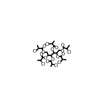 CC(Cl)C(=O)OCC(OC(=O)C(C)Cl)C(OC(=O)C(C)Cl)C(OC(=O)C(C)Cl)C(COC(=O)C(C)Cl)OC(=O)C(C)Cl